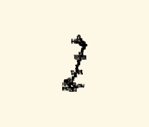 COCCCC(C)(CCCO)CCCOC(=O)NCCCCCCNC(=O)CCCOC1OC(CO)C(O)C(O)C1NC(C)=O